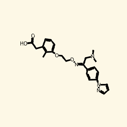 Cc1c(CC(=O)O)cccc1OCCO/N=C(\CN(C)C)c1ccc(-n2cccn2)cc1